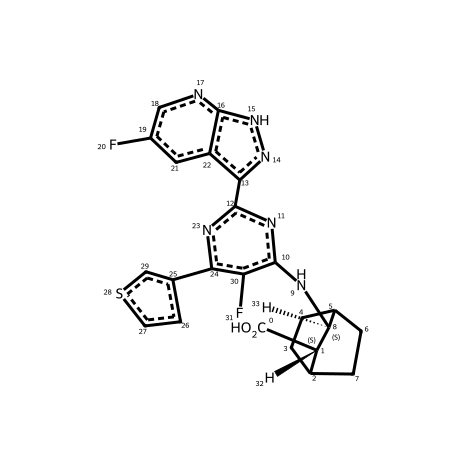 O=C(O)[C@H]1C2CCC(CC2)[C@@H]1Nc1nc(-c2n[nH]c3ncc(F)cc23)nc(-c2ccsc2)c1F